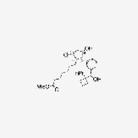 CCCC1(C(O)c2cccc([C@@H]3[C@@H](CCCCCCC(=O)OC)[C@H](Cl)C[C@H]3O)c2)CCC1